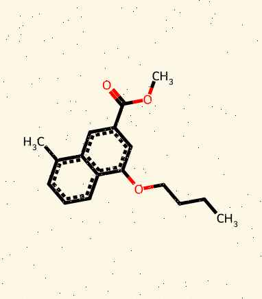 CCCCOc1cc(C(=O)OC)cc2c(C)cccc12